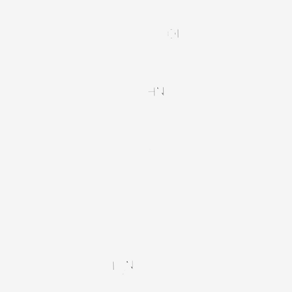 NCCCCCNCO